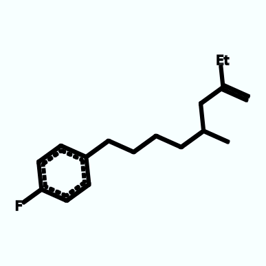 C=C(CC)CC(C)CCCCc1ccc(F)cc1